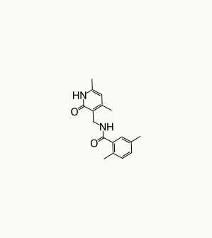 Cc1ccc(C)c(C(=O)NCc2c(C)cc(C)[nH]c2=O)c1